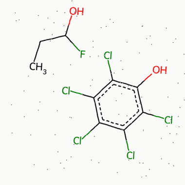 CCC(O)F.Oc1c(Cl)c(Cl)c(Cl)c(Cl)c1Cl